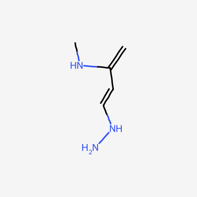 C=C(/C=C/NN)NC